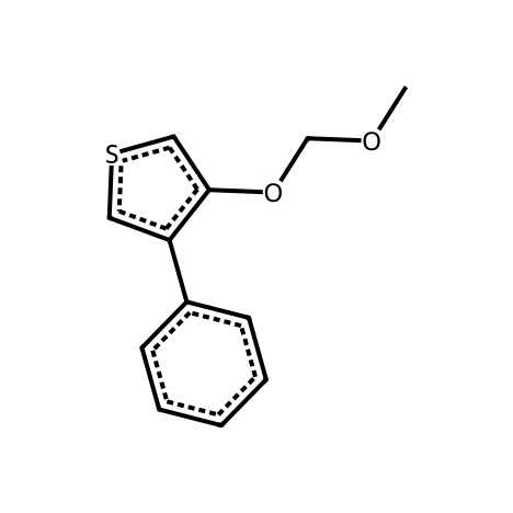 COCOc1cscc1-c1ccccc1